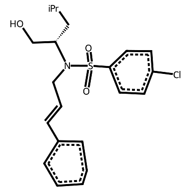 CC(C)C[C@@H](CO)N(C/C=C/c1ccccc1)S(=O)(=O)c1ccc(Cl)cc1